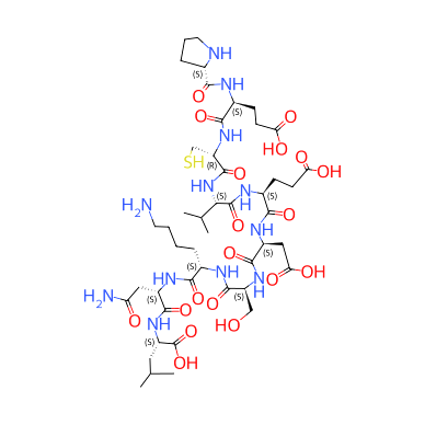 CC(C)C[C@H](NC(=O)[C@H](CC(N)=O)NC(=O)[C@H](CCCCN)NC(=O)[C@H](CO)NC(=O)[C@H](CC(=O)O)NC(=O)[C@H](CCC(=O)O)NC(=O)[C@@H](NC(=O)[C@H](CS)NC(=O)[C@H](CCC(=O)O)NC(=O)[C@@H]1CCCN1)C(C)C)C(=O)O